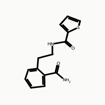 NC(=O)c1ccccc1C[CH]NC(=O)c1cccs1